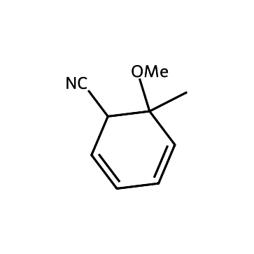 COC1(C)C=CC=CC1C#N